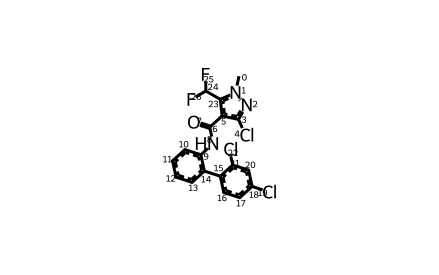 Cn1nc(Cl)c(C(=O)Nc2ccccc2-c2ccc(Cl)cc2Cl)c1C(F)F